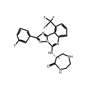 O=C1NCCNC[C@H]1Nc1nc2cccc(C(F)(F)F)c2c2nc(-c3cccc(F)c3)nn12